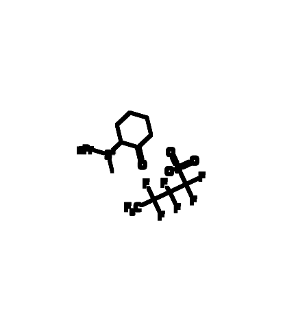 CCC[S+](C)C1CCCCC1=O.O=S(=O)([O-])C(F)(F)C(F)(F)C(F)(F)C(F)(F)F